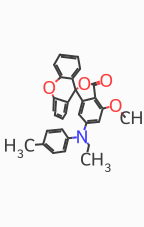 CCN(c1ccc(C)cc1)c1cc(OC)c2c(c1)C1(OC2=O)c2ccccc2Oc2ccccc21